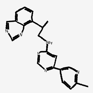 Cc1ccc(-c2cc(NCC(C)c3cccc4cncnc34)ncn2)cn1